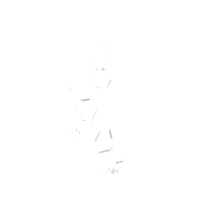 Nc1nc(F)c(-c2ccc3c(c2)OCCCO3)cc1-c1cc2c(cc1F)C(=O)NCC2